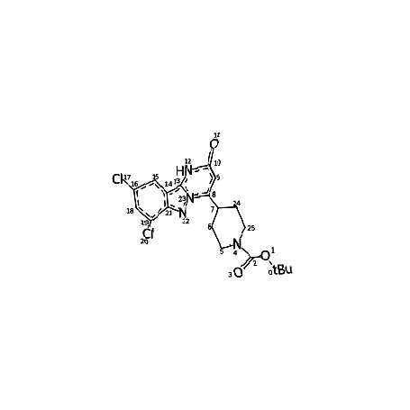 CC(C)(C)OC(=O)N1CCC(c2cc(=O)[nH]c3c4cc(Cl)cc(Cl)c4nn23)CC1